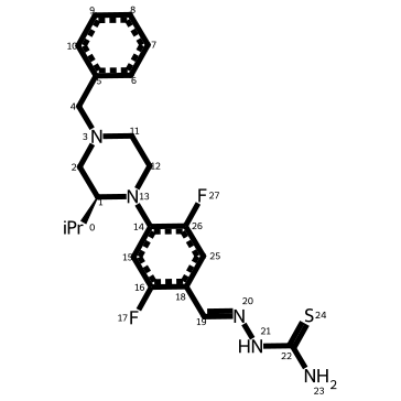 CC(C)[C@H]1CN(Cc2ccccc2)CCN1c1cc(F)c(/C=N/NC(N)=S)cc1F